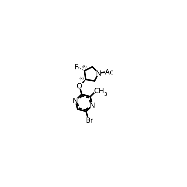 CC(=O)N1C[C@@H](F)[C@H](Oc2ncc(Br)nc2C)C1